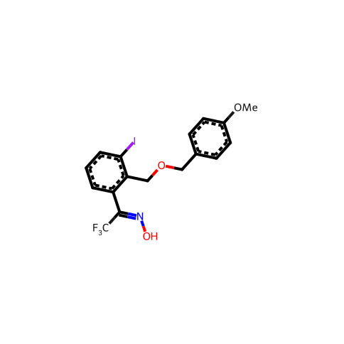 COc1ccc(COCc2c(I)cccc2C(=NO)C(F)(F)F)cc1